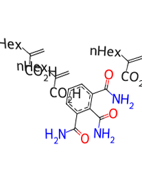 C=C(CCCCCC)C(=O)O.C=C(CCCCCC)C(=O)O.C=C(CCCCCC)C(=O)O.NC(=O)c1cccc(C(N)=O)c1C(N)=O